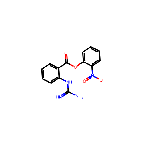 N=C(N)Nc1ccccc1C(=O)Oc1ccccc1[N+](=O)[O-]